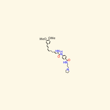 COc1ccc(/C=C/C=C\CC/C=C/C(=N)C(=O)Nc2ccc(C(=O)NCCCN3CCCC3)cc2)cc1OC